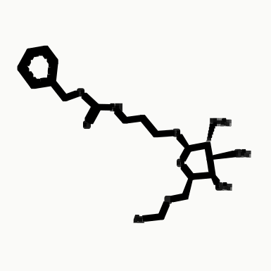 CC(=O)COC[C@H]1O[C@@H](OCCCNC(=O)OCc2ccccc2)[C@H](NC(C)=O)[C@@H](OC(C)=O)[C@H]1OC(C)=O